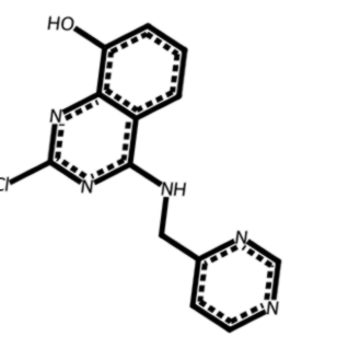 Oc1cccc2c(NCc3ccncn3)nc(Cl)nc12